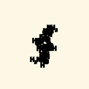 Nc1nc2c(nnn2[C@@H]2O[C@@H]3COP(=O)(O)O[C@H]4[C@@H](F)[C@H](c5snc6c(N)ncnc56)O[C@@H]4COP(=O)(O)O[C@@H]2[C@@H]3O)c(=O)[nH]1